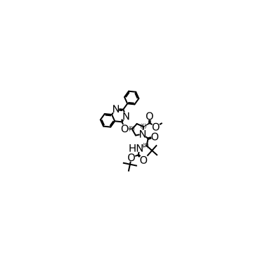 COC(=O)[C@@H]1C[C@@H](Oc2nc(-c3ccccc3)nc3ccccc23)CN1C(=O)[C@@H](NC(=O)OC(C)(C)C)C(C)(C)C